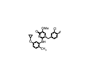 COc1cn(Cc2ccc(F)c(Cl)c2)c(Nc2cc(OC3CC3)ccc2C)nc1=O